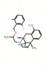 CC(CN1CC[C@@]2(C)c3cccc(N)c3C[C@@H]1C2(C)C)OCc1c(F)cccc1F